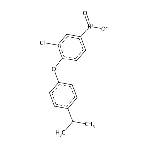 CC(C)c1ccc(Oc2ccc([N+](=O)[O-])cc2Cl)cc1